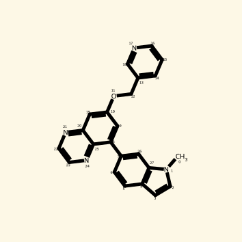 Cn1ccc2ccc(-c3cc(OCc4cccnc4)cc4nccnc34)cc21